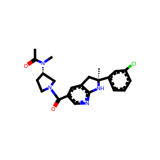 CC(=O)N(C)[C@H]1CCN(C(=O)c2cnc3c(c2)C[C@@](C)(c2cccc(Cl)c2)N3)C1